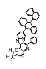 C=C/C=C\c1nc(-c2ccccc2)c2c(nc3ccc(-c4c5ccccc5c(-c5cccc6ccccc56)c5ccccc45)cn32)c1C